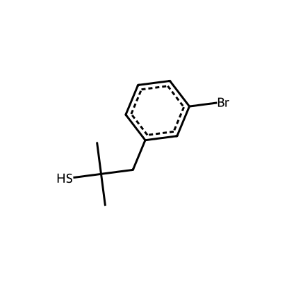 CC(C)(S)Cc1cccc(Br)c1